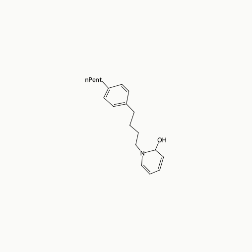 CCCCCc1ccc(CCCCN2C=CC=CC2O)cc1